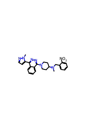 CN(Cc1ccccc1[N+](=O)[O-])C1CCN(c2nnc(-c3ccnn3C)c3ccccc23)CC1